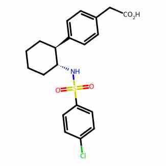 O=C(O)Cc1ccc([C@@H]2CCCC[C@H]2NS(=O)(=O)c2ccc(Cl)cc2)cc1